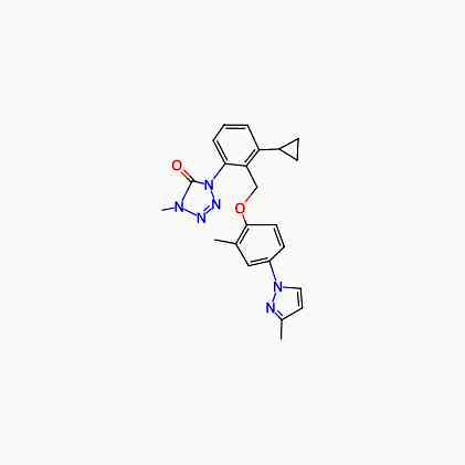 Cc1ccn(-c2ccc(OCc3c(C4CC4)cccc3-n3nnn(C)c3=O)c(C)c2)n1